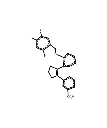 O=C(O)c1cccc(C2=C(c3ccccc3OCc3cc(F)c(F)cc3F)CCC2)n1